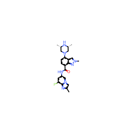 Cc1cn2cc(NC(=O)c3ccc(N4C[C@@H](C)N[C@@H](C)C4)c4cn(C)nc34)cc(F)c2n1